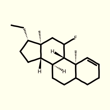 CC[C@H]1CC[C@H]2[C@@H]3CCC4CCC=C[C@]4(C)[C@H]3C(F)C[C@]12C